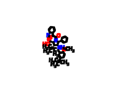 COc1ccc(C(C)(C)C)cc1CN[C@H]1[C@H](C(C)(C)C)[C@@H](C(=O)O)N(C(=O)c2onc3ccccc23)[C@H]1c1ccccc1